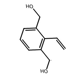 C=Cc1c([CH]O)cccc1CO